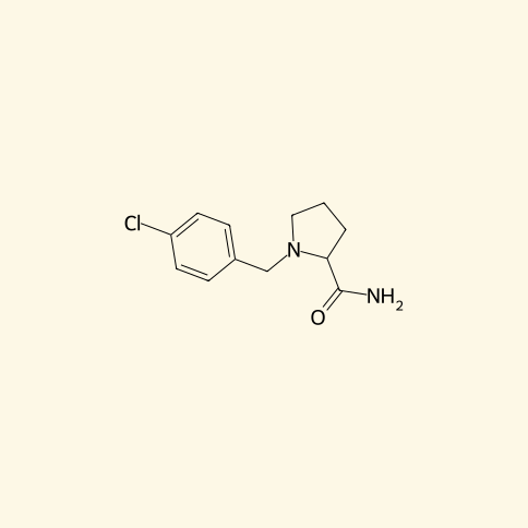 NC(=O)C1CCCN1Cc1ccc(Cl)cc1